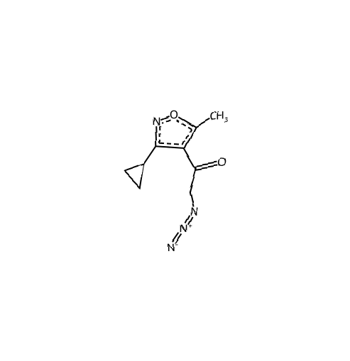 Cc1onc(C2CC2)c1C(=O)CN=[N+]=[N-]